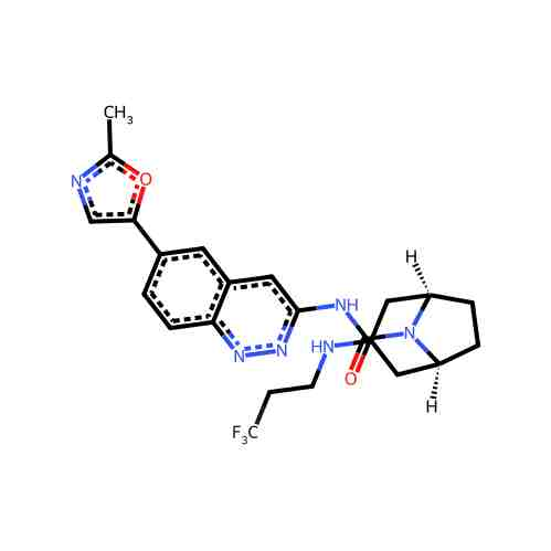 Cc1ncc(-c2ccc3nnc(NC(=O)N4[C@@H]5CC[C@H]4CC(NCCC(F)(F)F)C5)cc3c2)o1